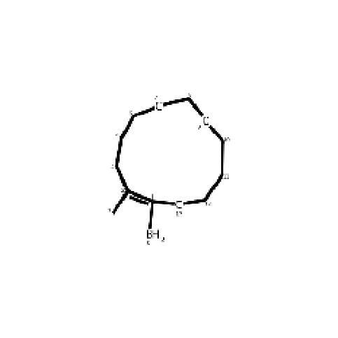 B/C1=C(\C)CCCCCCCCCC1